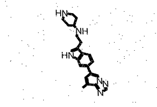 Cc1cc(-c2ccc3c(CCNC4CCNCC4)c[nH]c3c2)cn2ncnc12